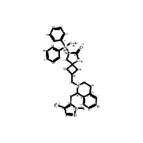 Cn1ncc(Cl)c1CC1c2ccccc2CCN1CC1CC2(C1)CN([Si](c1ccccc1)(c1ccccc1)C(C)(C)C)C(=O)O2